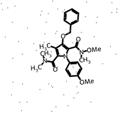 COc1ccc(-n2c(C(=O)N(C)C)c(C)c(OCc3ccccc3)c2C(=O)N(C)OC)cc1